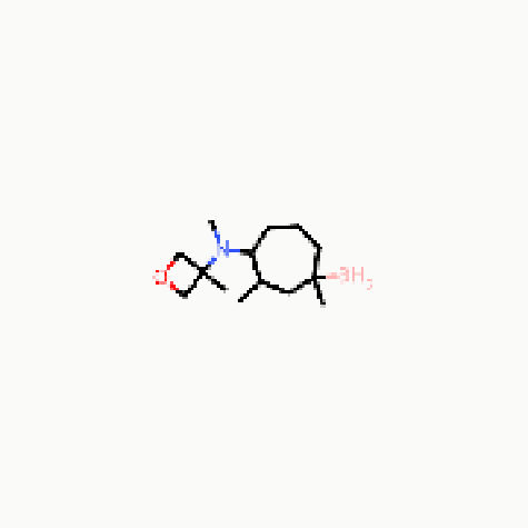 BC1(C)CCCC(N(C)C2(C)COC2)C(C)C1